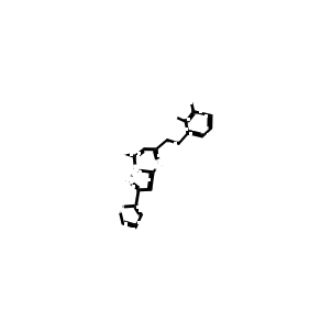 Oc1cc(CCc2cccc(F)c2F)nc2cc(-c3ccco3)nn12